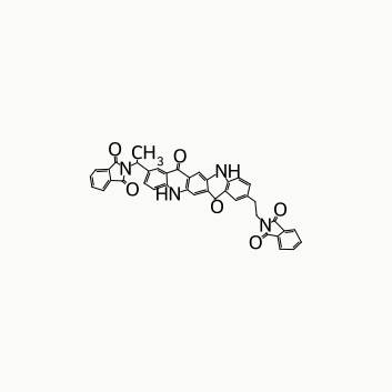 CC(c1ccc2[nH]c3cc4c(=O)c5cc(CCN6C(=O)c7ccccc7C6=O)ccc5[nH]c4cc3c(=O)c2c1)N1C(=O)c2ccccc2C1=O